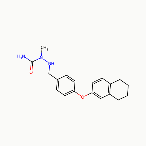 CN(NCc1ccc(Oc2ccc3c(c2)CCCC3)cc1)C(N)=O